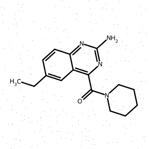 CCc1ccc2nc(N)nc(C(=O)N3CCCCC3)c2c1